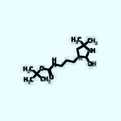 CC1(C)C[C@H](CCCNC(=O)OC(C)(C)C)C(O)N1